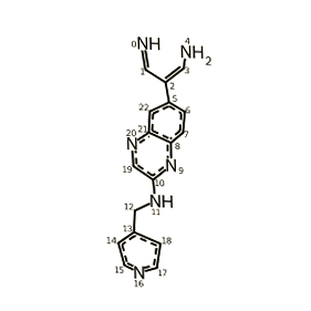 N=C/C(=C\N)c1ccc2nc(NCc3ccncc3)cnc2c1